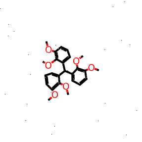 COc1cccc([C](c2cccc(OC)c2OC)c2cccc(OC)c2OC)c1OC